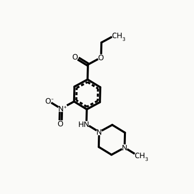 CCOC(=O)c1ccc(NN2CCN(C)CC2)c([N+](=O)[O-])c1